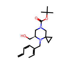 C=C/C=C\C(=C/C)CN1[C@@H](CO)CN(C(=O)OC(C)(C)C)CC12CC2